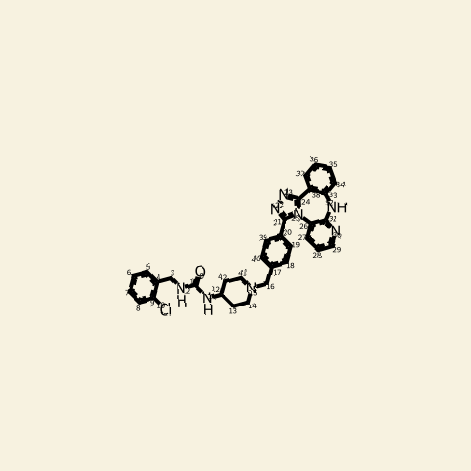 O=C(NCc1ccccc1Cl)NC1CCN(Cc2ccc(-c3nnc4n3-c3cccnc3Nc3ccccc3-4)cc2)CC1